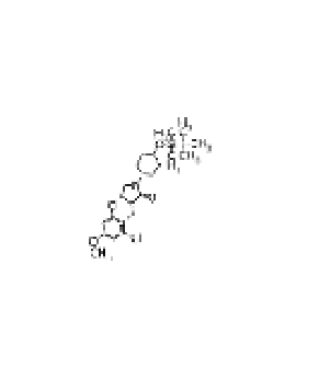 COc1cc(Cl)c(CC2CCN(C3CCC(O[Si](C)(C)C(C)(C)C)CC3)C2=O)c(Cl)c1